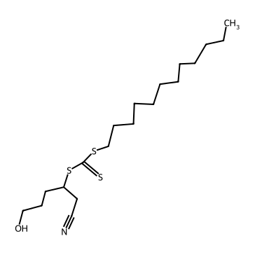 CCCCCCCCCCCCSC(=S)SC(CC#N)CCCO